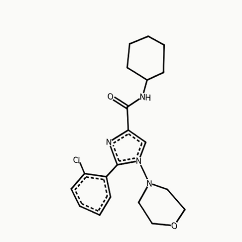 O=C(NC1CCCCC1)c1cn(N2CCOCC2)c(-c2ccccc2Cl)n1